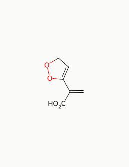 C=C(C(=O)O)C1=CCOO1